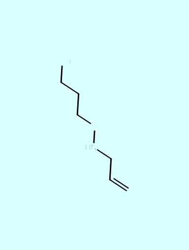 C=CCNOCCCO